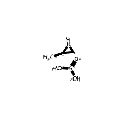 CC1CN1.O=S(O)O